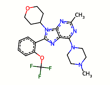 Cc1nc(N2CCN(C)CC2)c2nc(-c3ccccc3OC(F)(F)F)n(C3CCOCC3)c2n1